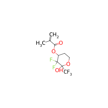 C=C(C)C(=O)OC1CCOC(O)(C(F)(F)F)C1(F)F